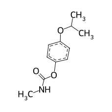 CNC(=O)Oc1ccc(OC(C)C)cc1